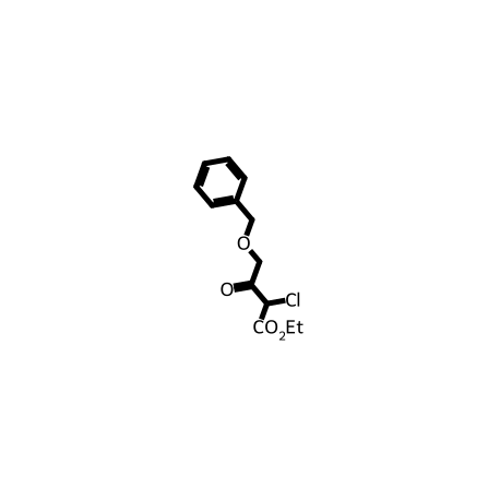 CCOC(=O)C(Cl)C(=O)COCc1ccccc1